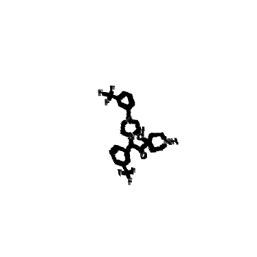 O=C(C(c1cccc(C(F)(F)F)c1)N1CCN(c2cccc(C(F)(F)F)c2)CC1)C1(O)CCNCC1